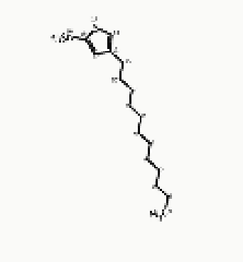 CCCCCCCCCCCCc1cs[c]([SnH])c1